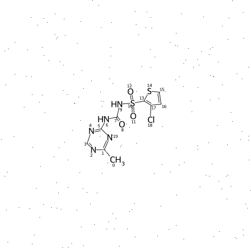 Cc1ncnc(NC(=O)NS(=O)(=O)c2sccc2Cl)n1